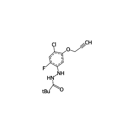 C#CCOc1cc(NNC(=O)C(C)(C)C)c(F)cc1Cl